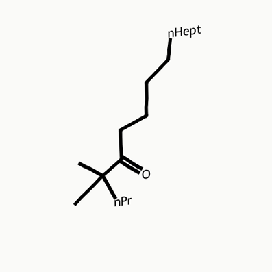 CCCCCCCCCCCC(=O)C(C)(C)CCC